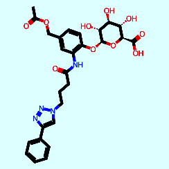 CC(=O)OCc1ccc(O[C@@H]2O[C@H](C(=O)O)[C@@H](O)[C@H](O)[C@H]2O)c(NC(=O)CCCn2cc(-c3ccccc3)nn2)c1